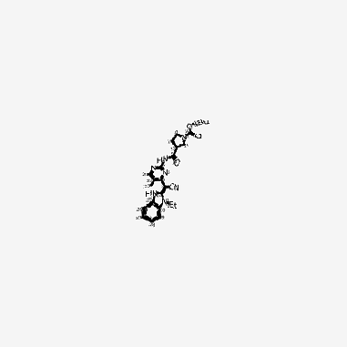 CCN1C(=C(C#N)c2nc(NC(=O)C3CCN(C(=O)OC(C)(C)C)C3)ncc2C)Nc2ccccc21